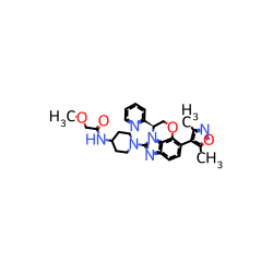 COCC(=O)NC1CCN(c2nc3ccc(-c4c(C)noc4C)c4c3n2[C@@H](c2ccccn2)CO4)CC1